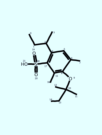 CCC(C)c1cc(C)c(OC(C)(C)CC)c(C)c1S(=O)(=O)O